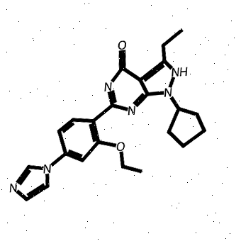 CCOc1cc(-n2ccnc2)ccc1-c1nc2n(C3CCCC3)[nH]c(CC)c-2c(=O)n1